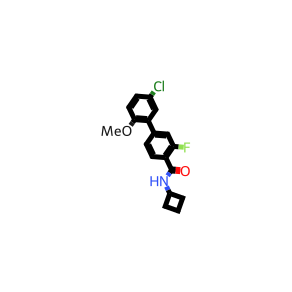 COc1ccc(Cl)cc1-c1ccc(C(=O)NC2CCC2)c(F)c1